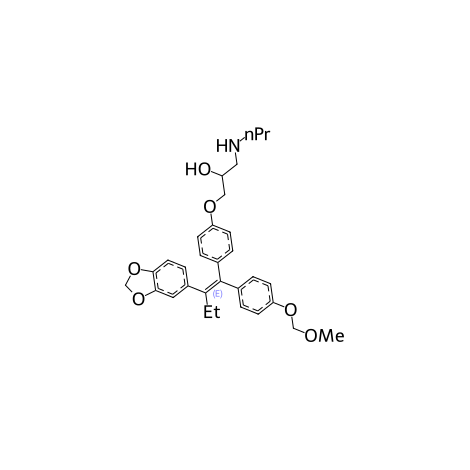 CCCNCC(O)COc1ccc(/C(=C(/CC)c2ccc3c(c2)OCO3)c2ccc(OCOC)cc2)cc1